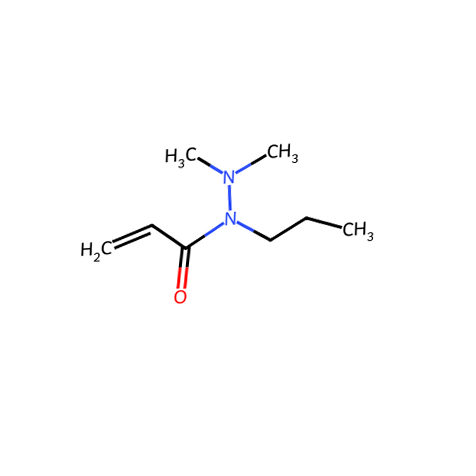 C=CC(=O)N(CCC)N(C)C